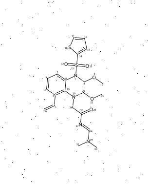 C=Cc1cccc(N(COC)S(=O)(=O)c2cccs2)c1N(COC)CC(=O)/N=C/N(C)C